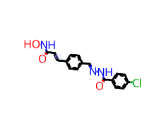 O=C(/C=C/c1ccc(C=NNC(=O)c2ccc(Cl)cc2)cc1)NO